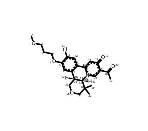 COCCCOc1cc2c(cc1Cl)-c1cc(=O)c(C(C)=O)cn1[C@H]1[C@@H]2COCC1(C)C